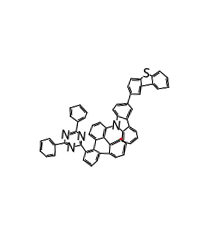 c1ccc(-c2nc(-c3ccccc3)nc(-c3cccc4c5ccccc5c5c(-n6c7ccccc7c7cc(-c8ccc9sc%10ccccc%10c9c8)ccc76)cccc5c34)n2)cc1